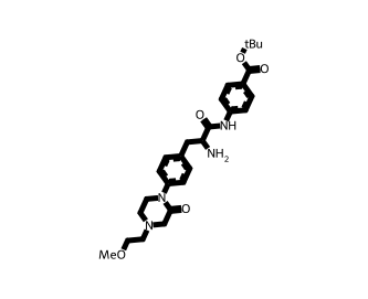 COCCN1CCN(c2ccc(CC(N)C(=O)Nc3ccc(C(=O)OC(C)(C)C)cc3)cc2)C(=O)C1